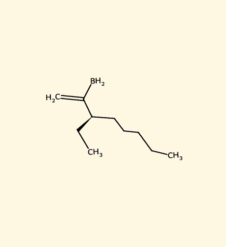 BC(=C)[C@H](CC)CCCCC